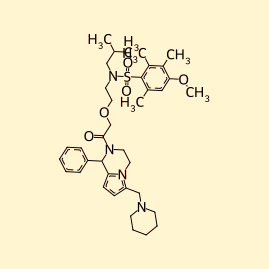 COc1cc(C)c(S(=O)(=O)N(CCOCC(=O)N2CCn3c(CN4CCCCC4)ccc3C2c2ccccc2)CC(C)C)c(C)c1C